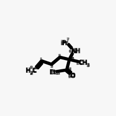 C=CCCC(C)(NC(C)C)C(=O)CC